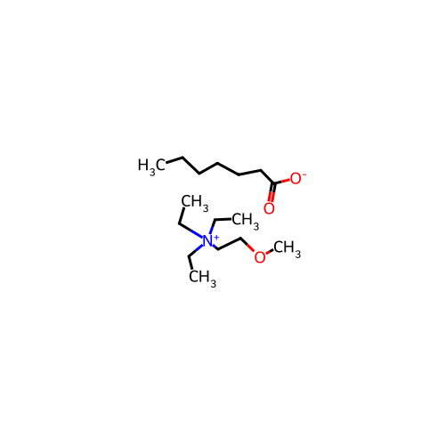 CCCCCCC(=O)[O-].CC[N+](CC)(CC)CCOC